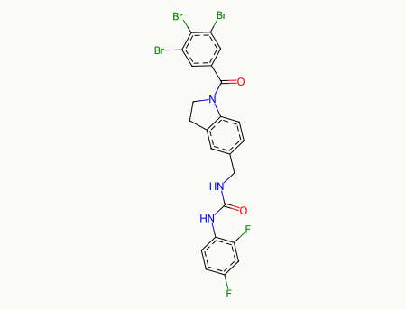 O=C(NCc1ccc2c(c1)CCN2C(=O)c1cc(Br)c(Br)c(Br)c1)Nc1ccc(F)cc1F